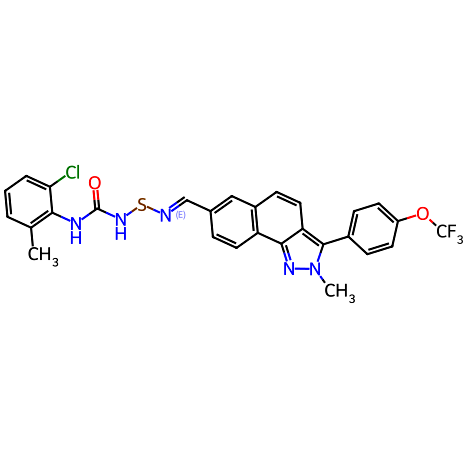 Cc1cccc(Cl)c1NC(=O)NS/N=C/c1ccc2c(ccc3c(-c4ccc(OC(F)(F)F)cc4)n(C)nc32)c1